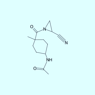 CC(=O)NC1CCC(C)(C(=O)N2CC2C#N)CC1